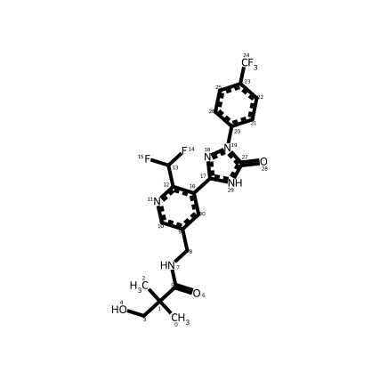 CC(C)(CO)C(=O)NCc1cnc(C(F)F)c(-c2nn(-c3ccc(C(F)(F)F)cc3)c(=O)[nH]2)c1